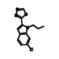 CCCn1c(-c2nnco2)cc2ccc(Cl)cc21